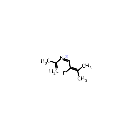 C=C(C)/N=C\C(F)=C(C)C